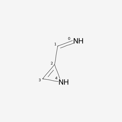 N=CC1=CN1